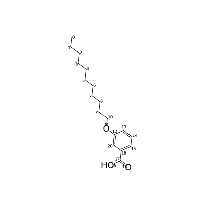 CCCCCCCCCCCOc1cccc(C(=O)O)c1